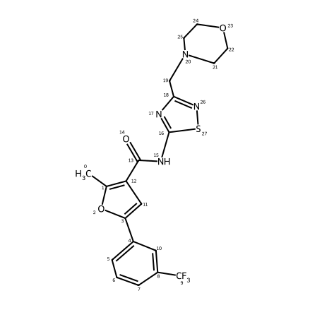 Cc1oc(-c2cccc(C(F)(F)F)c2)cc1C(=O)Nc1nc(CN2CCOCC2)ns1